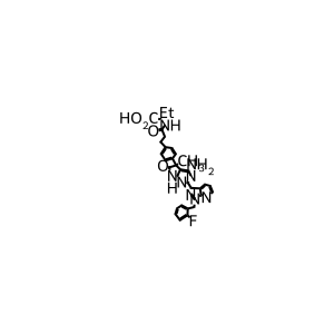 CCC(NC(=O)CCc1ccc(C2(C)C(=O)Nc3nc(-c4nn(Cc5ccccc5F)c5ncccc45)nc(N)c32)cc1)C(=O)O